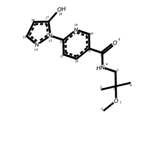 COC(C)(C)CNC(=O)c1ccc(-n2nccc2O)nc1